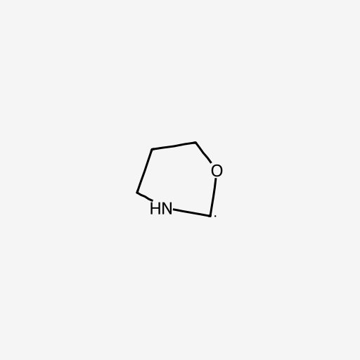 [CH]1NCCCO1